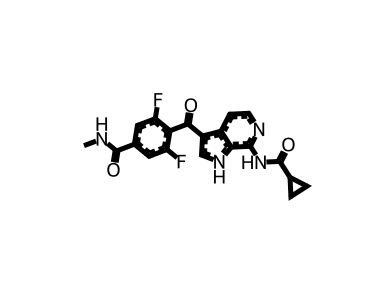 CNC(=O)c1cc(F)c(C(=O)c2c[nH]c3c(NC(=O)C4CC4)nccc23)c(F)c1